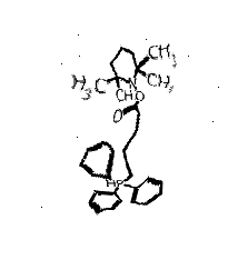 CC1(C)C[CH]CC(C)(C)N1OC(=O)CCC[PH](c1ccccc1)(c1ccccc1)c1ccccc1